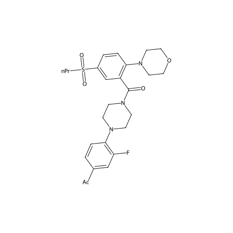 CCCS(=O)(=O)c1ccc(N2CCOCC2)c(C(=O)N2CCN(c3ccc(C(C)=O)cc3F)CC2)c1